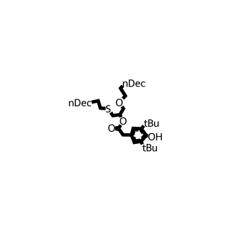 CCCCCCCCCCCCOCC(CSCCCCCCCCCCCC)OC(=O)Cc1cc(C(C)(C)C)c(O)c(C(C)(C)C)c1